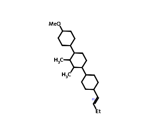 CC/C=C/C1CCC(C2CCC(C3CCC(OC)CC3)C(C)C2C)CC1